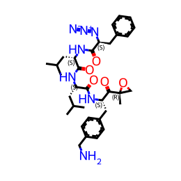 CC(C)C[C@H](NC(=O)[C@H](Cc1ccccc1)N=[N+]=[N-])C(=O)N[C@@H](CC(C)C)C(=O)N[C@@H](Cc1ccc(CN)cc1)C(=O)[C@@]1(C)CO1